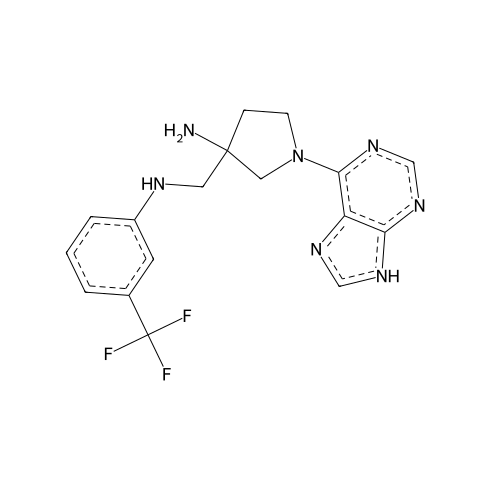 NC1(CNc2cccc(C(F)(F)F)c2)CCN(c2ncnc3[nH]cnc23)C1